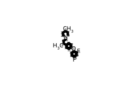 CC1CCN(CCC(C)c2ccc(Oc3ccc(F)cc3F)cc2)CC1